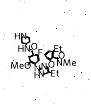 CCc1cnc(Nc2cc(F)c(C(=O)NC3CCNCC3)cc2OC)nc1Oc1cccc(CC)c1C(=O)NC